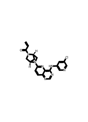 C=CC(=O)N1C[C@@H]2C[C@H]1CN2c1ccc2ncnc(Nc3cncc(Cl)c3)c2n1